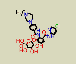 CN1CCCN(c2ccc(C(=O)Nc3c(O[C@@H]4O[C@H](C(=O)O)[C@@H](O)[C@H](O)[C@H]4O)cccc3C(=O)Nc3ccc(Cl)cn3)cc2)CC1